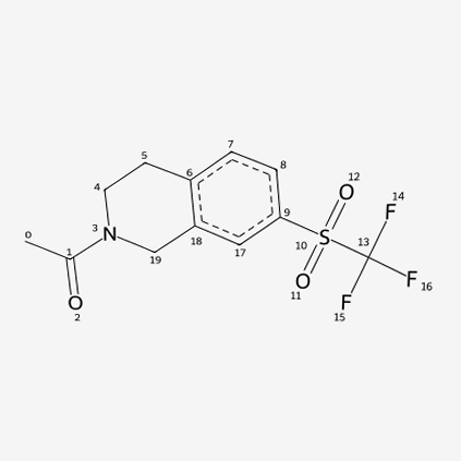 CC(=O)N1CCc2ccc(S(=O)(=O)C(F)(F)F)cc2C1